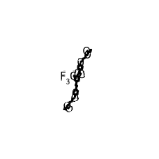 C=CC(=O)OCCCCOc1ccc(C#Cc2ccc(OC(=O)c3ccc(OCCCCOC(=O)C=C)cc3)c(C(F)(F)F)c2)cc1